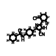 N#Cc1[nH]c(-c2c(F)cccc2Cl)nc1-c1ccc(NC(=O)c2ccccc2)cc1